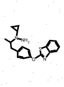 CC(Cc1ccc(Oc2nc3ccccc3s2)cc1)N(N)C1CC1